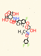 CC(=Cc1ccc(O[C@H]2C[C@H](O)[C@@H](C(C)=NOCc3ccc(F)c(F)c3)O2)c(F)c1)C(=O)N[C@@H]1[C@H](O)[C@@H](O)[C@H]2OCO[C@H]2[C@@H]1O